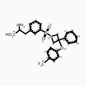 NC(Cc1cccc(S(=O)(=O)N2CC(Oc3ccc(C(F)(F)F)cc3)(c3ccccc3)C2)c1)C(=O)O